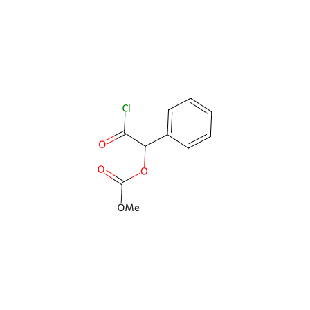 COC(=O)OC(C(=O)Cl)c1ccccc1